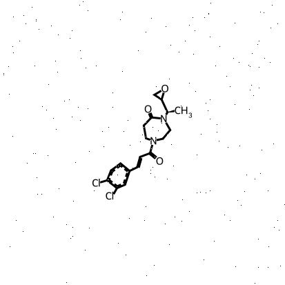 C[C@H](C1CO1)N1CCN(C(=O)C=Cc2ccc(Cl)c(Cl)c2)CCC1=O